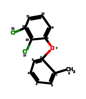 Cc1ccccc1Oc1cccc(Cl)c1Cl